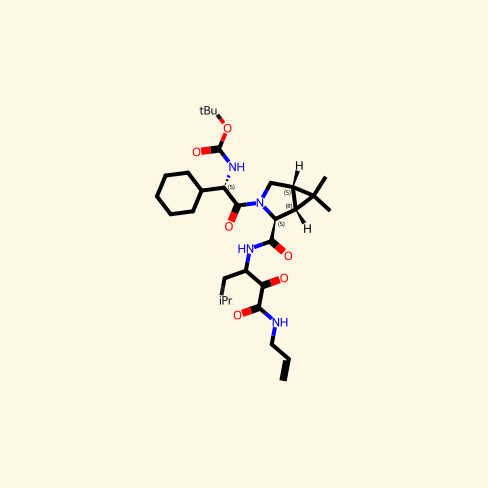 C=CCNC(=O)C(=O)C(CC(C)C)NC(=O)[C@@H]1[C@@H]2[C@H](CN1C(=O)[C@@H](NC(=O)OC(C)(C)C)C1CCCCC1)C2(C)C